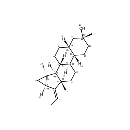 C/C=C1\[C@H]2C[C@H]2[C@H]2[C@@H]3CC[C@@H]4C[C@](C)(O)CC[C@@H]4[C@H]3CC[C@]12C